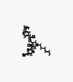 CC=CCCCN1CC(OC(=O)c2csc(CCC)c2)[N+]([O-])(c2ncc(Br)s2)C1